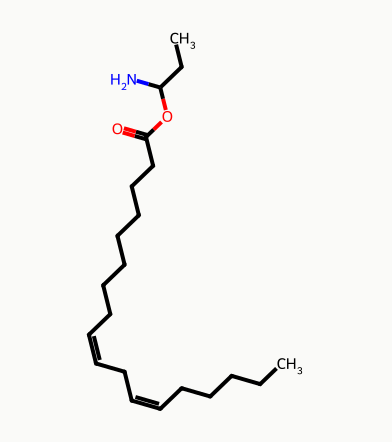 CCCCC/C=C\C/C=C\CCCCCCCC(=O)OC(N)CC